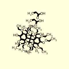 C=CC(=O)O.C=CC(=O)O.CCOOc1c(OCC)c(OCC)c(C(c2c(OCC)c(OCC)c(O)c(OCC)c2OCC)(C(OCC)(OCC)OCC)C(OCC)(OCC)OCC)c(OCC)c1OCC